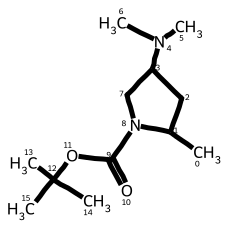 CC1CC(N(C)C)CN1C(=O)OC(C)(C)C